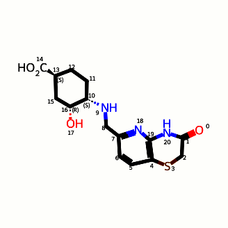 O=C1CSc2ccc(CN[C@H]3CC[C@H](C(=O)O)C[C@H]3O)nc2N1